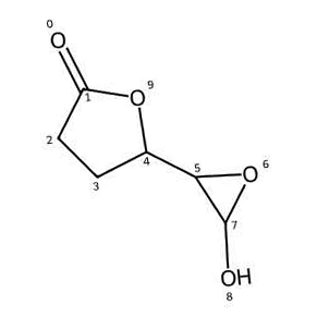 O=C1CCC(C2OC2O)O1